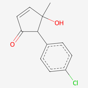 CC1(O)C=CC(=O)C1c1ccc(Cl)cc1